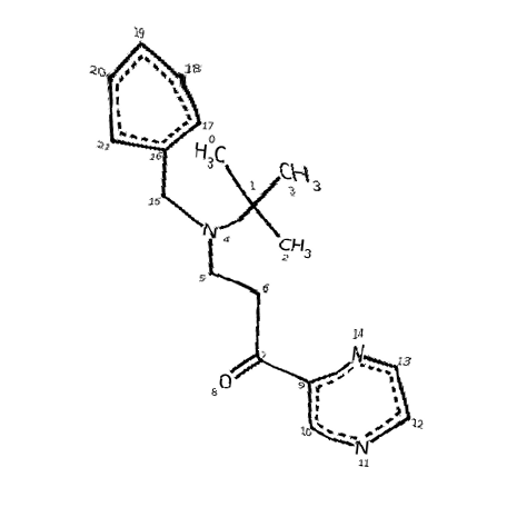 CC(C)(C)N(CCC(=O)c1cnccn1)Cc1ccccc1